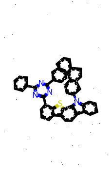 c1ccc(-c2nc(-c3ccccc3)nc(-c3cccc4c3sc3c4ccc4c5ccccc5n(-c5ccc6c(ccc7ccccc76)c5)c43)n2)cc1